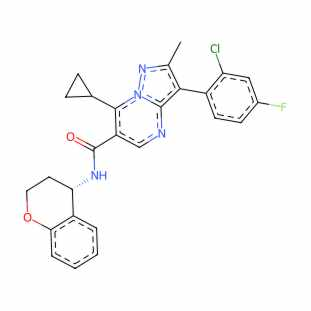 Cc1nn2c(C3CC3)c(C(=O)N[C@H]3CCOc4ccccc43)cnc2c1-c1ccc(F)cc1Cl